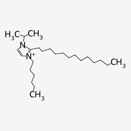 CCCCCCCCCCCCCc1n(C(C)C)cc[n+]1CCCCCC